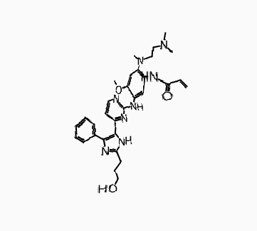 C=CC(=O)Nc1cc(Nc2nccc(-c3[nH]c(CCCO)nc3-c3ccccc3)n2)c(OC)cc1N(C)CCN(C)C